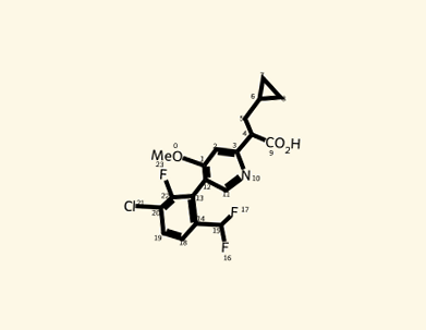 COc1cc(C(CC2CC2)C(=O)O)ncc1-c1c(C(F)F)ccc(Cl)c1F